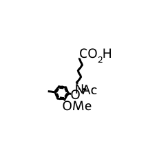 COc1cc(C)ccc1ON(CCCCCC(=O)O)C(C)=O